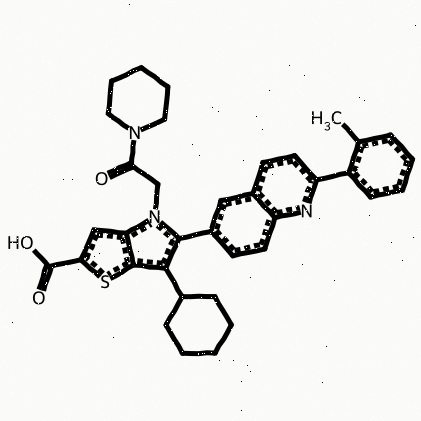 Cc1ccccc1-c1ccc2cc(-c3c(C4CCCCC4)c4sc(C(=O)O)cc4n3CC(=O)N3CCCCC3)ccc2n1